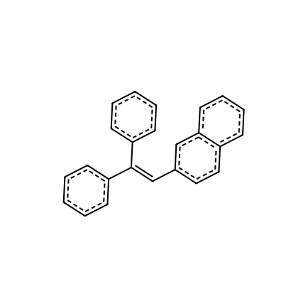 C(=C(c1ccccc1)c1ccccc1)c1ccc2ccccc2c1